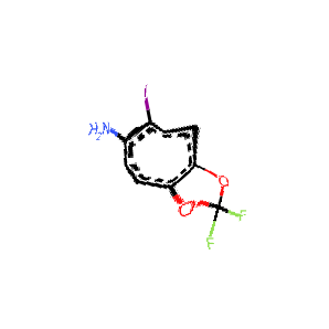 Nc1cc2c(cc1I)OC(F)(F)O2